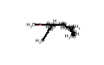 CCCCCCCCCCCCCC(=O)NCC(CNC(=O)CCCCCCCCCCCCC)OC(=O)NCCCCCCOP(=O)(S)OCC(O)COP(=O)(S)OC1CC(n2cc(C)c(=O)[nH]c2=O)OC1COC